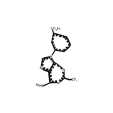 CNc1nc(C(F)(F)F)nc2c1ncn2-c1cccc(C(=O)O)c1